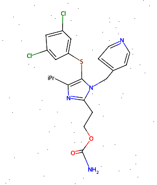 CC(C)c1nc(CCOC(N)=O)n(Cc2ccncc2)c1Sc1cc(Cl)cc(Cl)c1